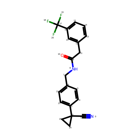 N#CC1(c2ccc(CNC(=O)Cc3cccc(C(F)(F)F)c3)cc2)CC1